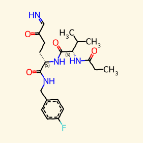 CCC(=O)N[C@H](C(=O)N[C@@H](CCC(=O)C=N)C(=O)NCc1ccc(F)cc1)C(C)C